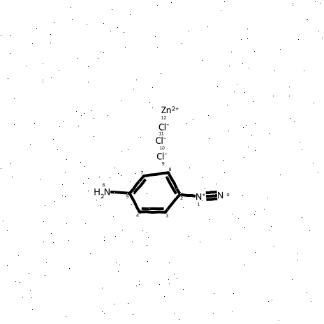 N#[N+]c1ccc(N)cc1.[Cl-].[Cl-].[Cl-].[Zn+2]